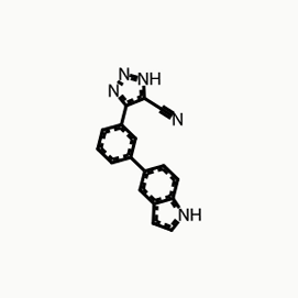 N#Cc1[nH]nnc1-c1cccc(-c2ccc3[nH]ccc3c2)c1